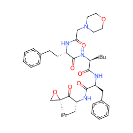 CCC(C)[C@H](NC(=O)[C@H](CCc1ccccc1)NC(=O)CN1CCOCC1)C(=O)N[C@@H](Cc1ccccc1)C(=O)N[C@H](CC(C)C)C(=O)[C@@]1(C)CO1